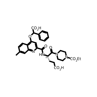 CCOC(=O)N1CCN(C(=O)[C@H](CCC(=O)O)NC(=O)c2cc(OC(C(=O)O)c3ccccc3)c3ccc(C)cc3n2)CC1